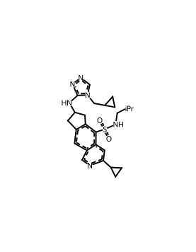 CC(C)CNS(=O)(=O)c1c2c(cc3cnc(C4CC4)cc13)CC(Nc1nncn1CC1CC1)C2